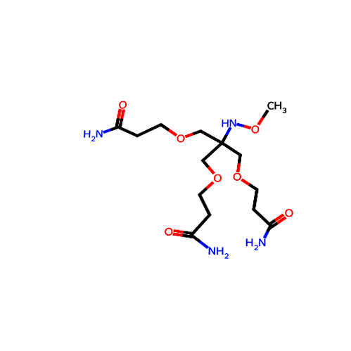 CONC(COCCC(N)=O)(COCCC(N)=O)COCCC(N)=O